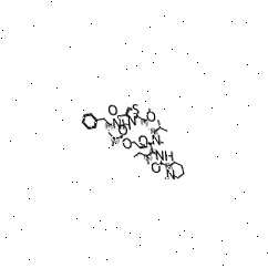 C=CCOC(=O)[C@@H](C)C[C@H](Cc1ccccc1)NC(=O)c1csc([C@@H](C[C@H](C(C)C)N(C)C(=O)[C@@H](NC(=O)[C@H]2CCCCN2C)[C@@H](C)CC)OC)n1